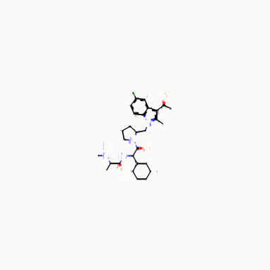 CNC(C)C(=O)NC(C(=O)N1CCCC1Cn1c(C)c(C(C)=O)c2cc(Cl)ccc21)C1CCCCC1